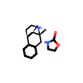 O=c1[nH]cco1.c1ccc2c(c1)C[C@H]1NCC[C@@]23CCCC[C@@H]13